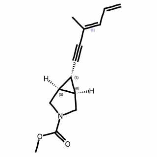 C=C/C=C(\C)C#C[C@@H]1[C@H]2CN(C(=O)OC)C[C@@H]12